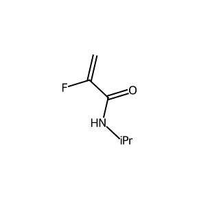 C=C(F)C(=O)NC(C)C